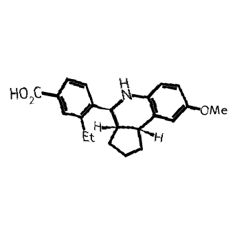 CCc1cc(C(=O)O)ccc1[C@H]1Nc2ccc(OC)cc2[C@@H]2CCC[C@H]12